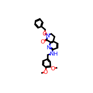 COc1ccc(CNc2ccc3c(n2)C(=O)N(OCc2ccccc2)CC3)cc1OC